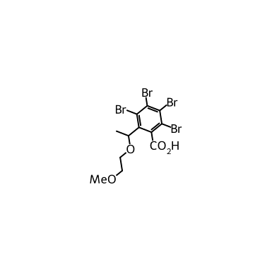 COCCOC(C)c1c(Br)c(Br)c(Br)c(Br)c1C(=O)O